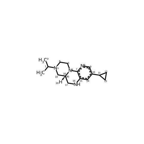 CC(C)N1CCN2c3ncc(C4CC4)cc3NC[C@@H]2C1